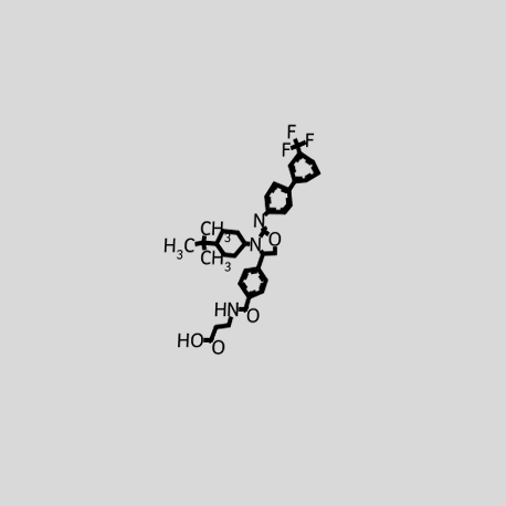 CC(C)(C)C1CCC(N2/C(=N/c3ccc(-c4cccc(C(F)(F)F)c4)cc3)OCC2c2ccc(C(=O)NCCC(=O)O)cc2)CC1